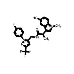 CC(C(=O)NCc1cc(C(F)(F)F)nn1-c1ccc(F)cc1)c1cn(C)c2ccc(O)cc12